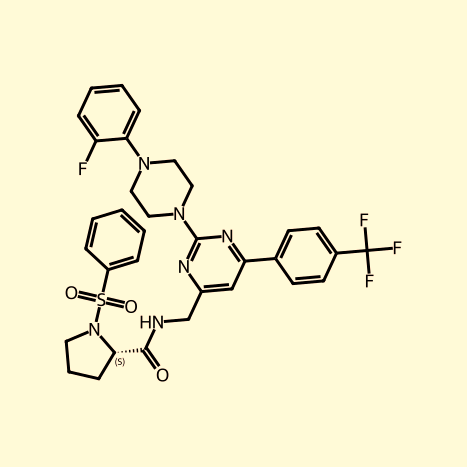 O=C(NCc1cc(-c2ccc(C(F)(F)F)cc2)nc(N2CCN(c3ccccc3F)CC2)n1)[C@@H]1CCCN1S(=O)(=O)c1ccccc1